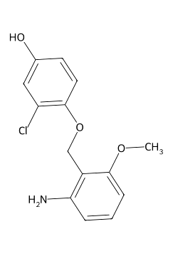 COc1cccc(N)c1COc1ccc(O)cc1Cl